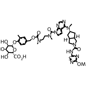 COc1nsc(NC(=O)N2C[C@H]3C[C@H](N(C)c4ncnc5c4ccn5C(=O)N(C)CCN(C)C(=O)OCc4ccc(O[C@@H]5O[C@H](C(=O)O)[C@@H](O)[C@H](O)[C@H]5O)c(C)c4)C[C@H]3C2)n1